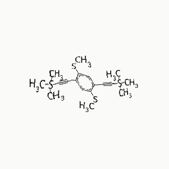 CSc1cc(C#CS(C)(C)C)c(SC)cc1C#CS(C)(C)C